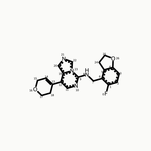 Fc1ccc2c(c1CNc1ncc(C3=CCOCC3)c3cncn13)CCO2